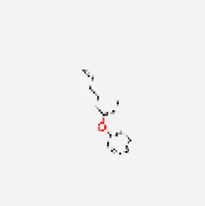 C=CCCCC(=CC)Oc1ccccc1